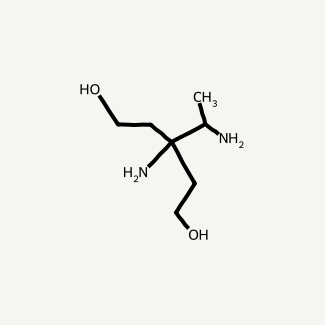 CC(N)C(N)(CCO)CCO